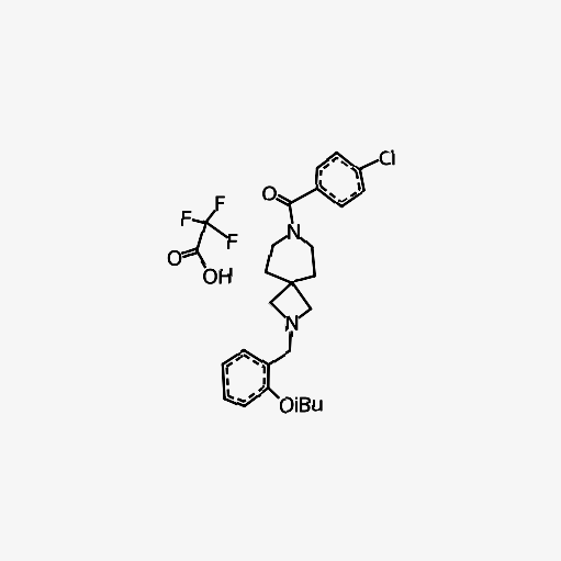 CC(C)COc1ccccc1CN1CC2(CCN(C(=O)c3ccc(Cl)cc3)CC2)C1.O=C(O)C(F)(F)F